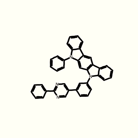 c1ccc(-c2ncc(-c3cccc(-n4c5ccccc5c5cc6c7ccccc7n(-c7ccccc7)c6cc54)c3)cn2)cc1